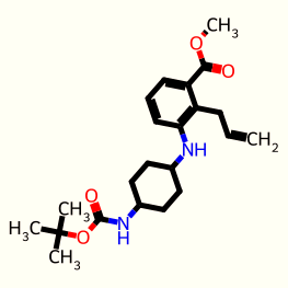 C=CCc1c(NC2CCC(NC(=O)OC(C)(C)C)CC2)cccc1C(=O)OC